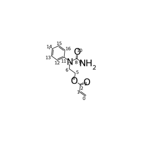 C=CC(=O)OCCN(C(N)=O)c1cc[c]cc1